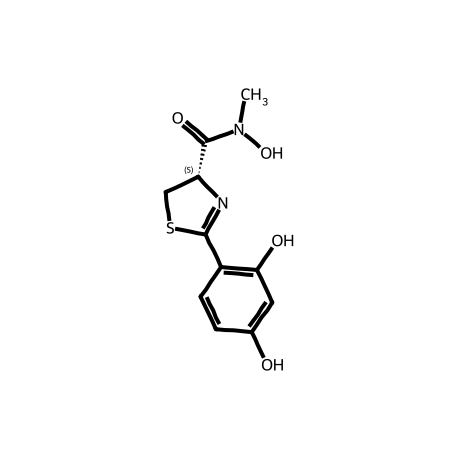 CN(O)C(=O)[C@H]1CSC(c2ccc(O)cc2O)=N1